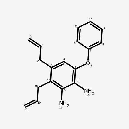 C=CCc1cc(Oc2ccccc2)c(N)c(N)c1CC=C